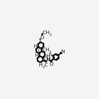 CCOC[C@H]1CC[C@]2(C)C3CC[C@]4(C)C([C@@H](C)NC(=O)c5ccc(C#N)cc5F)CCC[C@H]4[C@]3(I)CC[C@@H]2C1